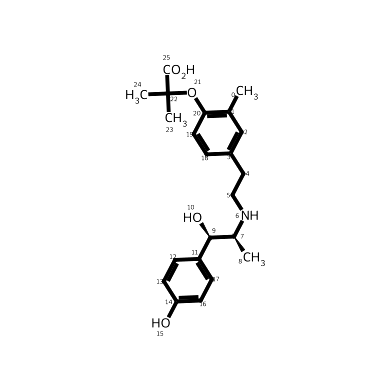 Cc1cc(CCN[C@@H](C)[C@H](O)c2ccc(O)cc2)ccc1OC(C)(C)C(=O)O